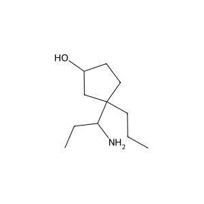 CCCC1(C(N)CC)CCC(O)C1